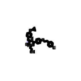 O=C(NCCO)/C(=C/c1ccc(OC2CC2)cc1)NC(=O)c1ccc(OCCc2ccc(Cl)cc2)cc1